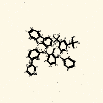 Cc1c(N(c2ccccc2)c2cc(C(C)(C)C)cc(C(C)(C)C)c2)cccc1N(c1cccc(-c2cccnc2)c1)c1cccc2c1sc1ccccc12